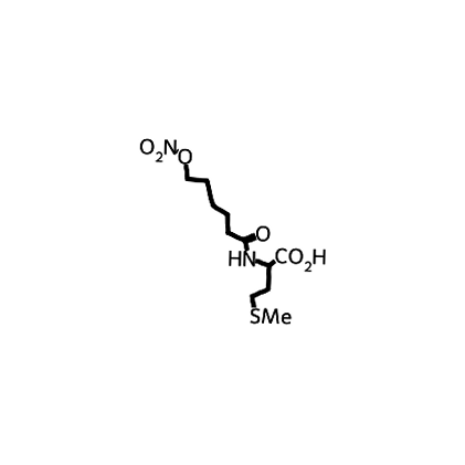 CSCCC(NC(=O)CCCCCO[N+](=O)[O-])C(=O)O